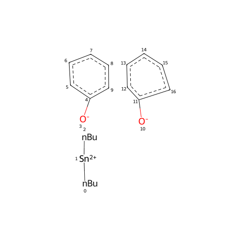 CCC[CH2][Sn+2][CH2]CCC.[O-]c1ccccc1.[O-]c1ccccc1